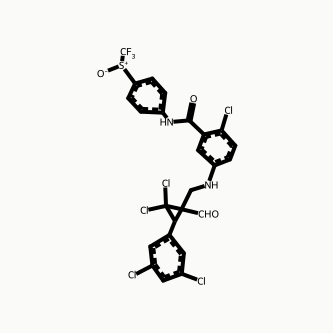 O=CC1(CNc2ccc(Cl)c(C(=O)Nc3ccc([S+]([O-])C(F)(F)F)cc3)c2)C(c2cc(Cl)cc(Cl)c2)C1(Cl)Cl